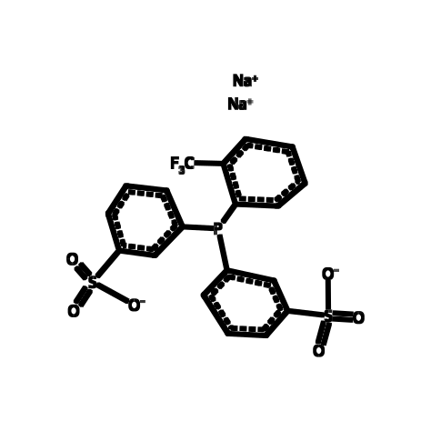 O=S(=O)([O-])c1cccc(P(c2cccc(S(=O)(=O)[O-])c2)c2ccccc2C(F)(F)F)c1.[Na+].[Na+]